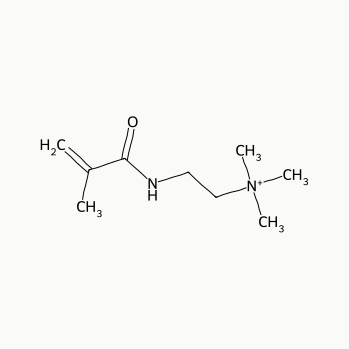 C=C(C)C(=O)NCC[N+](C)(C)C